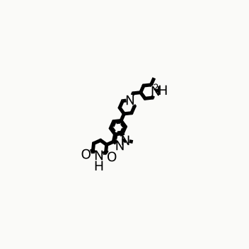 [2H]N1CCC(CN2CCC(c3ccc4c(C5CCC(=O)NC5=O)nn(C)c4c3)CC2)CC1C